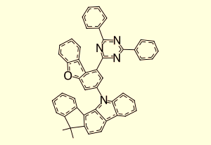 CC1(C)c2ccccc2-c2c1ccc1c3ccccc3n(-c3cc(-c4nc(-c5ccccc5)nc(-c5ccccc5)n4)c4c(c3)oc3ccccc34)c21